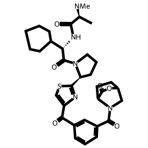 CN[C@@H](C)C(=O)N[C@H](C(=O)N1CCC[C@H]1c1nc(C(=O)c2cccc(C(=O)N3CC4CCC3C(=O)O4)c2)cs1)C1CCCCC1